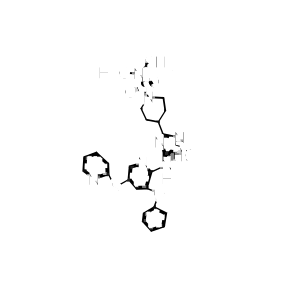 CN(C)S(=O)(=O)N1CCC(c2nsc(Nc3ncc(Sc4ccccn4)cc3Oc3ccccc3)n2)CC1.Cl.Cl